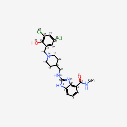 CC(C)NC(=O)c1cccc2[nH]c(NCC3CCN(Cc4cc(Cl)cc(Cl)c4O)CC3)nc12